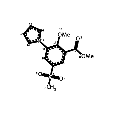 COC(=O)c1cc(S(C)(=O)=O)cc(-n2cccc2)c1OC